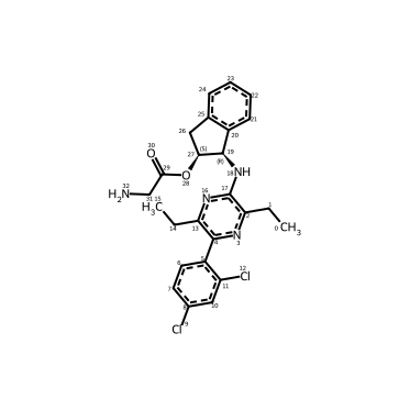 CCc1nc(-c2ccc(Cl)cc2Cl)c(CC)nc1N[C@@H]1c2ccccc2C[C@@H]1OC(=O)CN